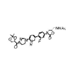 CC(=O)NC[C@H]1CN(c2ccc(C3=CC=C(N4C=NN(C(=O)C5COC(C)(C)O5)CC4)NC3)c(F)c2)C(=O)O1